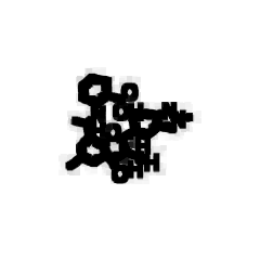 [2H]C([2H])([2H])c1c(-c2ccc3nn(C)cc3c2)oc2c(C(C)Nc3ccccc3C(=O)O)cc(C)cc2c1=O